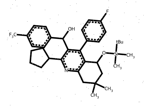 CC1(C)Cc2nc(C3CCCC3)c(C(O)c3ccc(C(F)(F)F)cc3)c(-c3ccc(F)cc3)c2C(O[Si](C)(C)C(C)(C)C)C1